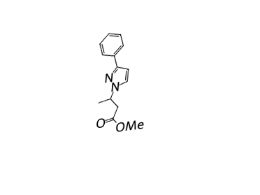 COC(=O)CC(C)n1ccc(-c2ccccc2)n1